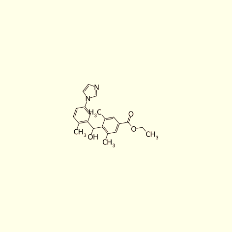 CCOC(=O)c1cc(C)c(C(O)c2cc(-n3ccnc3)ccc2C)c(C)c1